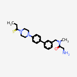 CCC(=S)N1CCN(c2ccc(-c3cccc(CN(C)C(=O)CN)c3)cc2)CC1